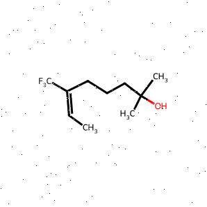 CC=C(CCCC(C)(C)O)C(F)(F)F